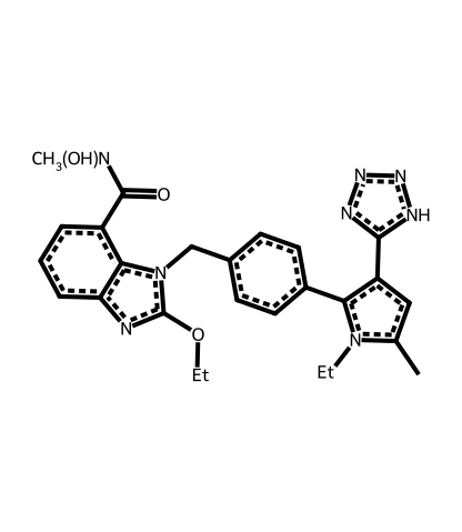 CCOc1nc2cccc(C(=O)N(C)O)c2n1Cc1ccc(-c2c(-c3nnn[nH]3)cc(C)n2CC)cc1